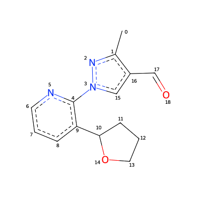 Cc1nn(-c2ncccc2C2CCCO2)cc1C=O